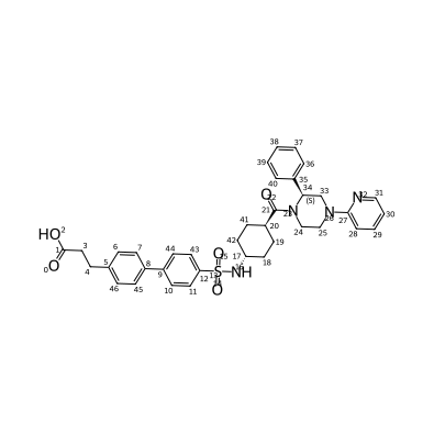 O=C(O)CCc1ccc(-c2ccc(S(=O)(=O)N[C@H]3CC[C@H](C(=O)N4CCN(c5ccccn5)C[C@@H]4c4ccccc4)CC3)cc2)cc1